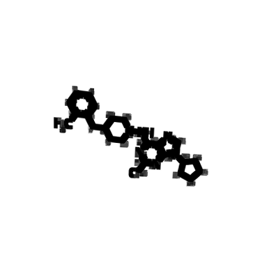 FC(F)(F)c1ccccc1CC1CCN(Nc2nc(Cl)nc3c2ncn3C2CCCC2)CC1